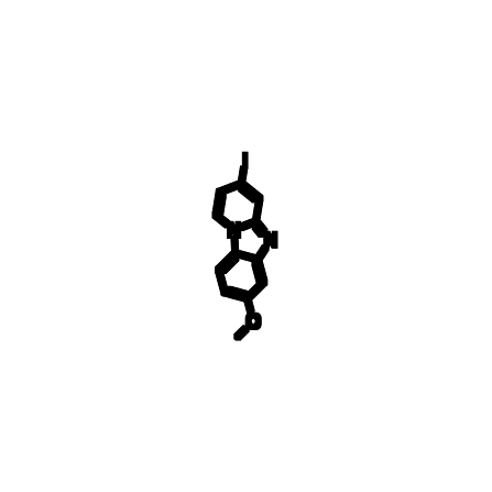 COc1ccc2c(c1)nc1cc(I)ccn12